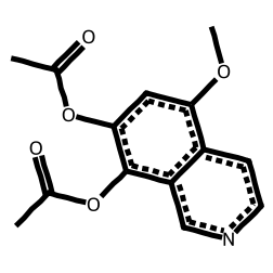 COc1cc(OC(C)=O)c(OC(C)=O)c2cnccc12